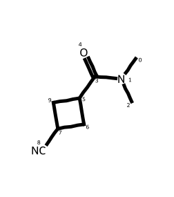 CN(C)C(=O)C1CC(C#N)C1